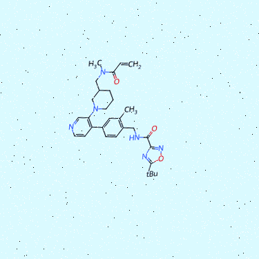 C=CC(=O)N(C)CC1CCCN(c2cnccc2-c2ccc(CNC(=O)c3noc(C(C)(C)C)n3)c(C)c2)C1